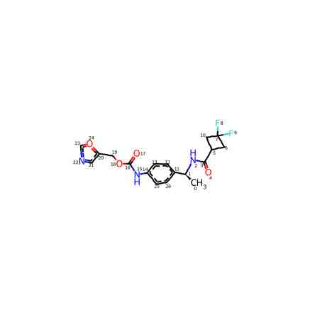 C[C@H](NC(=O)C1CC(F)(F)C1)c1ccc(NC(=O)OCc2cnco2)cc1